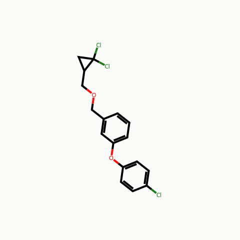 Clc1ccc(Oc2cccc(COCC3CC3(Cl)Cl)c2)cc1